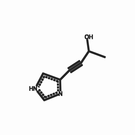 CC(O)C#Cc1c[nH]cn1